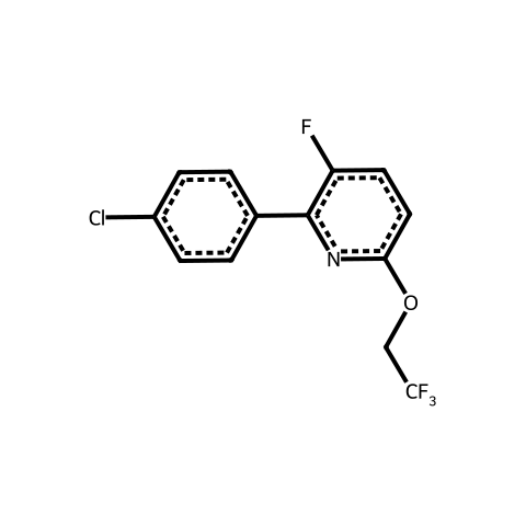 Fc1ccc(OCC(F)(F)F)nc1-c1ccc(Cl)cc1